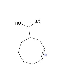 CCC(O)C1C/C=C\CCCC1